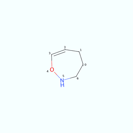 [CH]1CC=CONC1